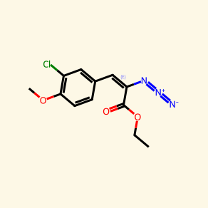 CCOC(=O)/C(=C\c1ccc(OC)c(Cl)c1)N=[N+]=[N-]